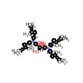 CCCCC1(CCCC)CC(C)(C)c2c(-c3ccc(N(c4ccc(-c5cccc6c5C(C)(C)CC6(CCCC)CCCC)cc4)c4ccc(C5C(O)C(c6ccc(N(c7ccc(-c8cccc9c8C(C)(C)CC9(CCCC)CCCC)cc7)c7ccc(-c8cccc9c8C(C)(C)CC9(CCCC)CCCC)cc7)cc6O)[C@@H]6C(O)C56)c(O)c4)cc3)cccc21